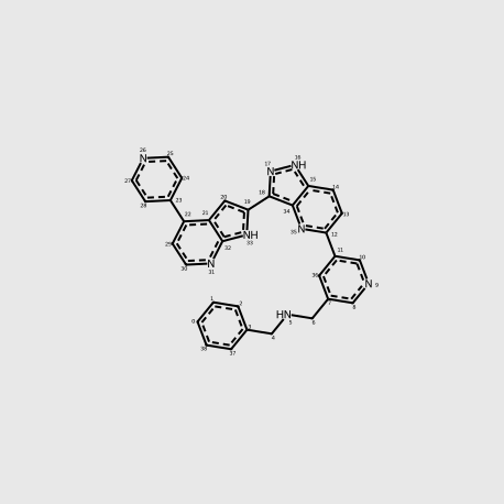 c1ccc(CNCc2cncc(-c3ccc4[nH]nc(-c5cc6c(-c7ccncc7)ccnc6[nH]5)c4n3)c2)cc1